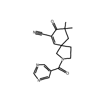 CC1(C)CC2(C=C(C#N)C1=O)CCN(C(=O)c1cncnc1)C2